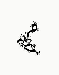 N#Cc1ccc(-c2nccn2C(=O)NCCc2ccccc2)cn1